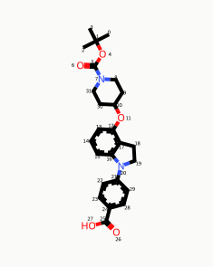 CC(C)(C)OC(=O)N1CCC(Oc2cccc3c2CCN3c2ccc(C(=O)O)cc2)CC1